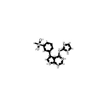 CS(=O)(=O)c1cccc(-c2csc3ncnc(Sc4nccs4)c23)c1